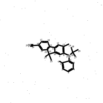 Cc1ccccc1N(c1cc2c(cc1C)-c1ccc(C#N)cc1C2(C)C)C(C)(C)C